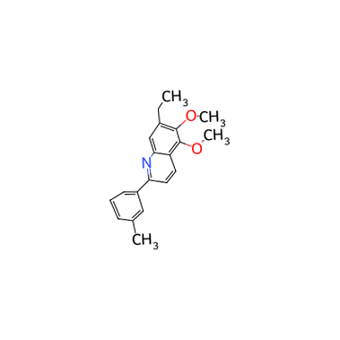 CCc1cc2nc(-c3cccc(C)c3)ccc2c(OC)c1OC